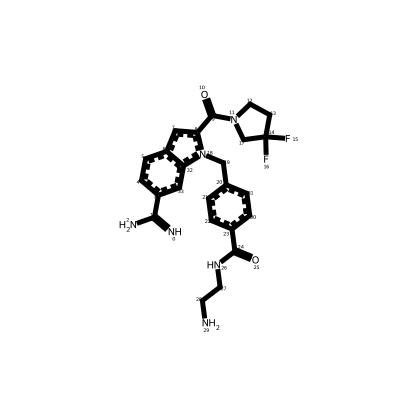 N=C(N)c1ccc2cc(C(=O)N3CCC(F)(F)C3)n(Cc3ccc(C(=O)NCCN)cc3)c2c1